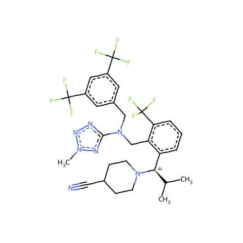 CC(C)[C@H](c1cccc(C(F)(F)F)c1CN(Cc1cc(C(F)(F)F)cc(C(F)(F)F)c1)c1nnn(C)n1)N1CCC(C#N)CC1